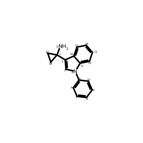 NC1(c2cn(-c3ccccc3)c3ccccc23)CC1